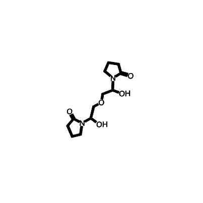 O=C1CCCN1C(O)COCC(O)N1CCCC1=O